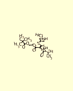 CC(O)C1C(=O)N2C(C(=O)OCOC(=O)C(C)(C)C)=C(SC3CNC3)S[C@H]12.Cl